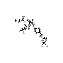 C[C@@H](OCc1ccc(/C=C/C(=O)OC(C)(C)C)cc1)[C@H](CCC(N)=O)NC(=O)OC(C)(C)C